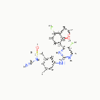 Cc1cc(CS(C)(=O)=NC#N)cc(Nc2ncc(F)c(-c3ccc(F)c4ccoc34)n2)c1